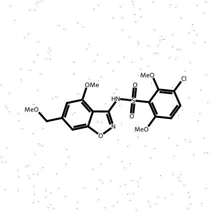 COCc1cc(OC)c2c(NS(=O)(=O)c3c(OC)ccc(Cl)c3OC)noc2c1